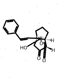 O=C1C[N+]23CCC[C@H]2[C@H]1C(=O)O[B-]3(O)/C=C/c1ccccc1